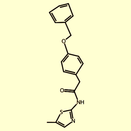 Cc1cnc(NC(=O)Cc2ccc(OCc3ccccc3)cc2)s1